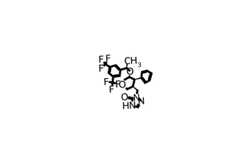 C[C@@H](O[C@H]1COC[C@H](Cn2nc[nH]c2=O)[C@@H]1c1ccccc1)c1cc(C(F)(F)F)cc(C(F)(F)F)c1